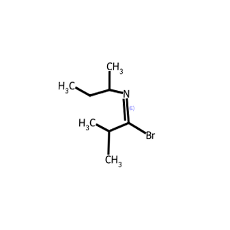 CCC(C)/N=C(/Br)C(C)C